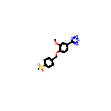 COc1cc(-c2nnn[nH]2)ccc1OCc1ccc(S(C)(=O)=O)cc1